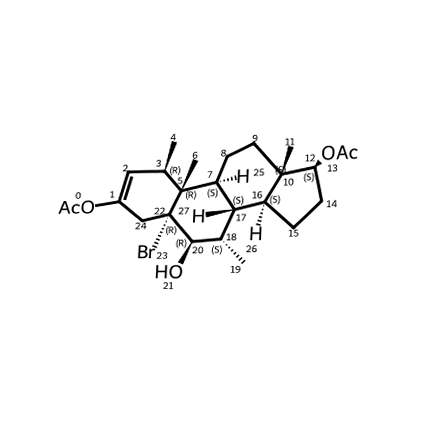 CC(=O)OC1=C[C@@H](C)[C@]2(C)[C@H]3CC[C@]4(C)[C@@H](OC(C)=O)CC[C@H]4[C@@H]3[C@H](C)[C@@H](O)[C@@]2(Br)C1